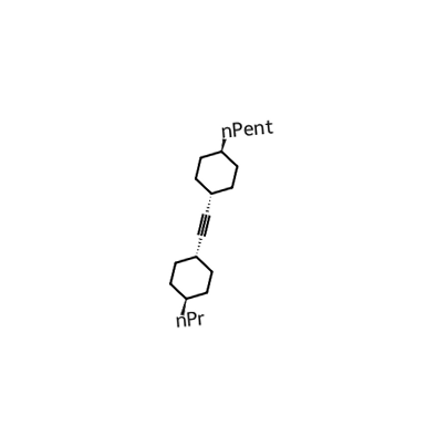 CCCCC[C@H]1CC[C@H](C#C[C@H]2CC[C@H](CCC)CC2)CC1